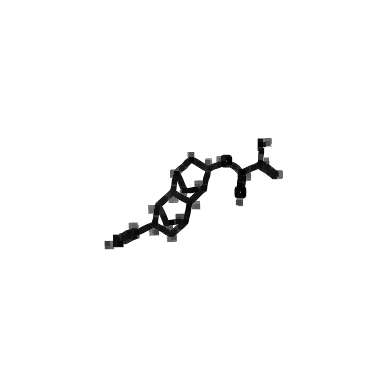 C=C(F)C(=O)OC1CC2CC1C1C3CC(C#N)C(C3)C21